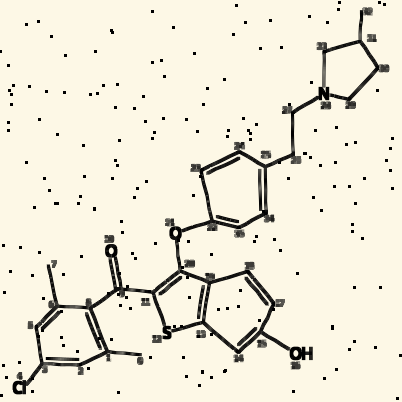 Cc1cc(Cl)cc(C)c1C(=O)c1sc2cc(O)ccc2c1Oc1ccc(CCN2CCC(C)C2)cc1